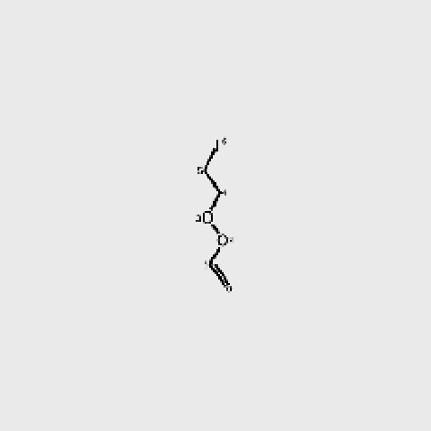 C=COOCCI